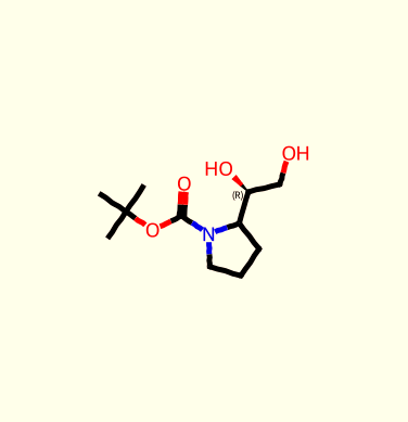 CC(C)(C)OC(=O)N1CCCC1[C@@H](O)CO